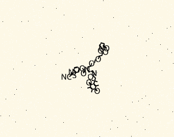 CC1=C(C)C(=O)C(C(C)(C)CC(=O)N(C)CCN(CCOCCOCCC(=O)ON2CCCC2=O)C(=O)Oc2ccc3nc(C#N)sc3c2)=C(C)C1=O